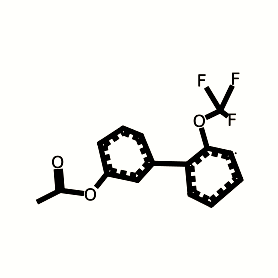 CC(=O)Oc1cccc(-c2ccc[c]c2OC(F)(F)F)c1